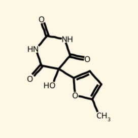 Cc1ccc(C2(O)C(=O)NC(=O)NC2=O)o1